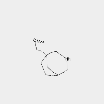 COCC12CCC(CNC1)C2